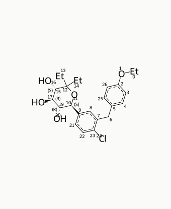 CCOc1ccc(Cc2cc([C@@H]3OC(CC)(CC)[C@@H](O)[C@H](O)[C@H]3O)ccc2Cl)cc1